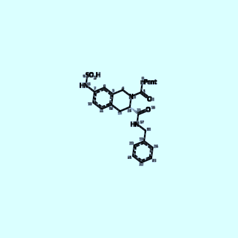 CCCCCC(=O)N1Cc2cc(NS(=O)(=O)O)ccc2C[C@H]1C(=O)NCc1ccccc1